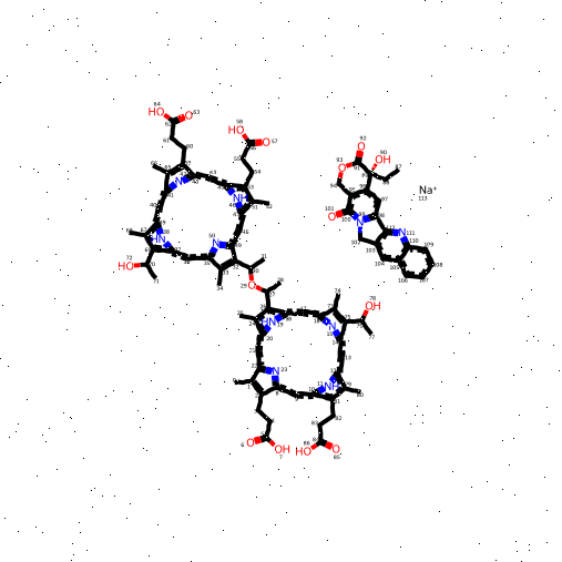 CC1=C(CCC(=O)O)c2cc3[nH]c(cc4nc(cc5[nH]c(cc1n2)c(C)c5C(C)OC(C)C1=C(C)c2cc5[nH]c(cc6nc(cc7[nH]c(cc1n2)c(C)c7CCC(=O)O)C(CCC(=O)O)=C6C)c(C)c5C(C)O)C(C)=C4C(C)O)c(C)c3CCC(=O)O.CC[C@@]1(O)C(=O)OCc2c1cc1n(c2=O)Cc2cc3ccccc3nc2-1.[Na+]